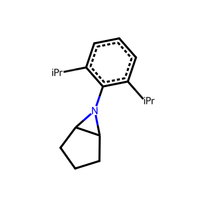 CC(C)c1cccc(C(C)C)c1N1C2CCCC21